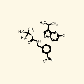 CC(C)(C)OC(=O)NCc1cccc([N+](=O)[O-])c1.CC(C)c1cnn2ccc(Cl)nc12